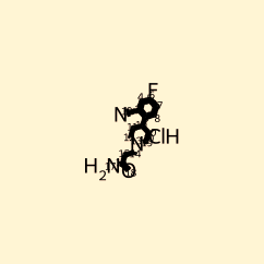 Cl.N#Cc1cc(F)ccc1C1CCN(CCC(N)=O)CC1